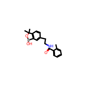 Cc1ccccc1C(=O)NCCc1ccc2c(c1)B(O)OC2(C)C